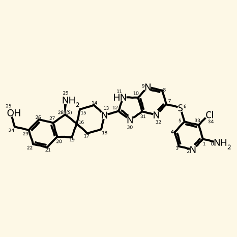 Nc1nccc(Sc2cnc3[nH]c(N4CCC5(CC4)Cc4ccc(CO)cc4[C@H]5N)nc3n2)c1Cl